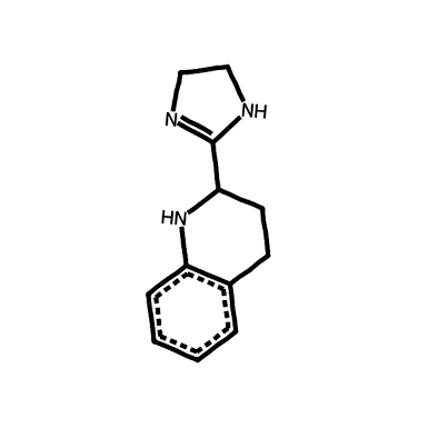 c1ccc2c(c1)CCC(C1=NCCN1)N2